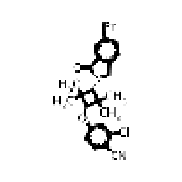 CC(C)c1ccc2c(c1)C(=O)N([C@H]1C(C)(C)[C@H](Oc3ccc(C#N)c(Cl)c3)C1(C)C)C2